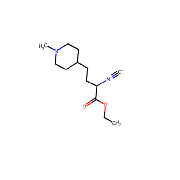 [C-]#[N+]C(CCC1CCN(C)CC1)C(=O)OCC